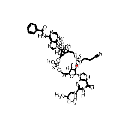 CC(C)CNc1nc2c(ncn2[C@@H]2O[C@@H]3COP(O)(=S)O[C@@H]4[C@H](N=[N+]=[N-])[C@@H](COP(=S)(OCCC#N)O[C@@H]2[C@@H]3F)O[C@H]4n2cnc3c(NC(=O)c4ccccc4)ncnc32)c(=O)[nH]1